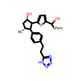 CCCCCC(O)c1ccc(C2C(c3ccc(CCc4nnn[nH]4)cc3)[C@H](C#N)C[C@H]2O)s1